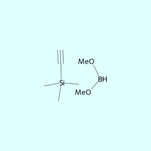 C#C[Si](C)(C)C.COBOC